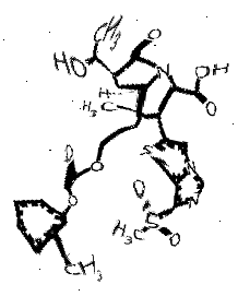 CCc1ccccc1OC(=O)OCC[C@@]1(C)C(c2cn3cnc(S(C)(=O)=O)c3s2)=C(C(=O)O)N2C(=O)[C@H](C(C)O)[C@@H]21